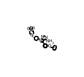 CS(=O)(=O)N1CCN(C[C@H]2CC[C@H](n3cc(-c4cccc(OCC56CCC(CC5)O6)c4)c4c(N)ncnc43)CC2)CC1